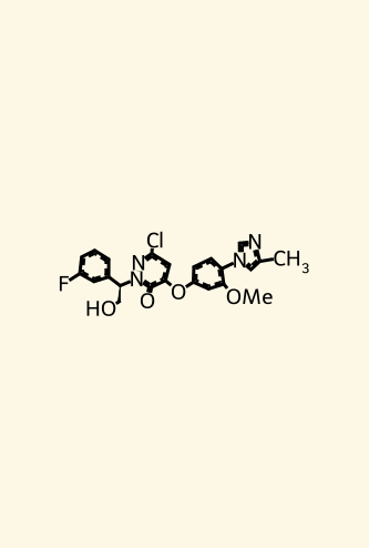 COc1cc(Oc2cc(Cl)nn([C@@H](CO)c3cccc(F)c3)c2=O)ccc1-n1cnc(C)c1